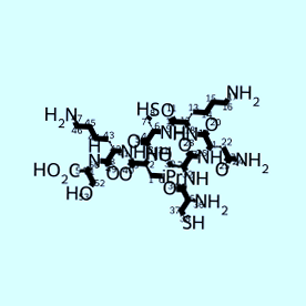 CC(C)C[C@H](NC(=O)[C@H](CS)NC(=O)[C@H](CCCCN)NC(=O)[C@H](CC(N)=O)NC(=O)[C@H](CO)NC(=O)[C@@H](N)CS)C(=O)N[C@@H](CCCCN)C(=O)N[C@@H](CO)C(=O)O